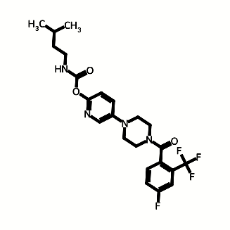 CC(C)CCNC(=O)Oc1ccc(N2CCN(C(=O)c3ccc(F)cc3C(F)(F)F)CC2)cn1